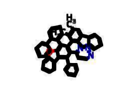 Cc1cc2c(c(-c3c(-c4ccnnn4)c(-c4ccccc4)c4c(oc5ccccc54)c3-c3ccccc3-c3ccccc3)c1C)Cc1ccccc1-2